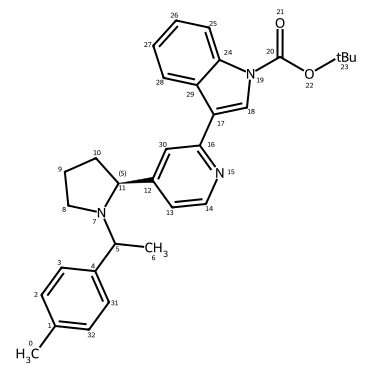 Cc1ccc(C(C)N2CCC[C@H]2c2ccnc(-c3cn(C(=O)OC(C)(C)C)c4ccccc34)c2)cc1